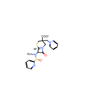 CC(=O)N(C1C(=O)N2CC(C[n+]3ccccc3)(C(=O)[O-])CS[C@H]12)[S+]([O-])c1ccccn1